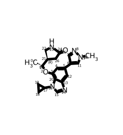 C[C@@H](Oc1cc(-c2cnn(C)c2)cc2ncn(C3CC3)c12)[C@H]1CNC(=O)C1